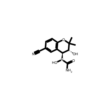 CC1(C)Oc2ccc(C#N)cc2[C@H](N(O)C(N)=O)[C@H]1O